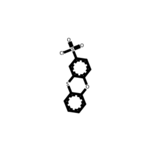 O=S(=O)(Cl)c1ccc2c(c1)Sc1ccccc1O2